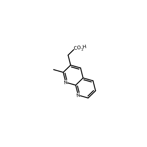 Cc1nc2ncccc2cc1CC(=O)O